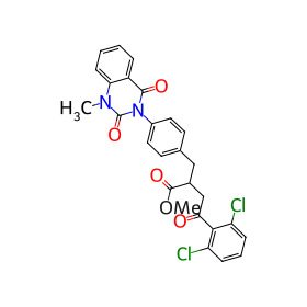 COC(=O)C(CC(=O)c1c(Cl)cccc1Cl)Cc1ccc(-n2c(=O)c3ccccc3n(C)c2=O)cc1